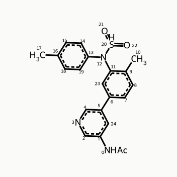 CC(=O)Nc1cncc(-c2ccc(C)c(N(c3ccc(C)cc3)[SH](=O)=O)c2)c1